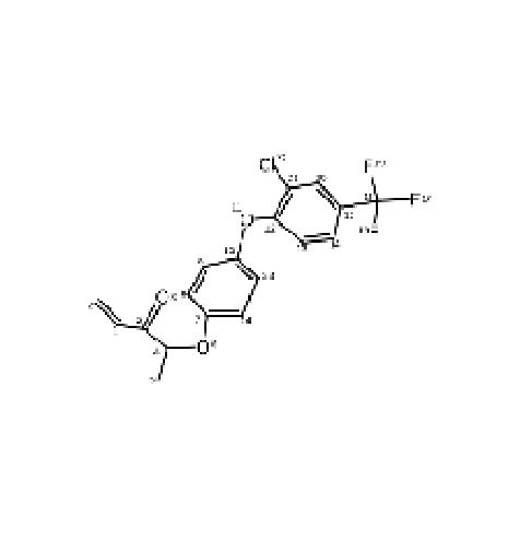 C=CC(=O)C(C)Oc1ccc(Oc2ccc(C(F)(F)F)cc2Cl)cc1